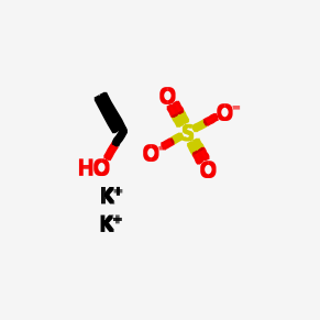 C=CO.O=S(=O)([O-])[O-].[K+].[K+]